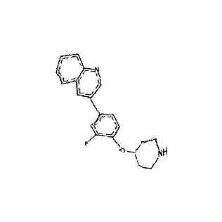 Fc1cc(-c2cnc3ccccc3c2)ccc1OC1CCNCC1